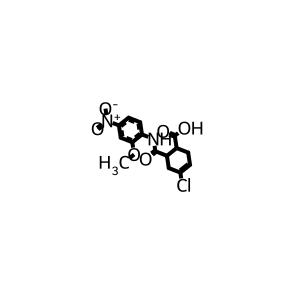 COc1cc([N+](=O)[O-])ccc1NC(=O)C1CC(Cl)=CCC1C(=O)O